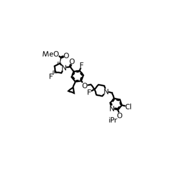 COC(=O)[C@@H]1C[C@@H](F)CN1C(=O)c1cc(C2CC2)c(OCC2(F)CCN(Cc3cnc(OC(C)C)c(Cl)c3)CC2)cc1F